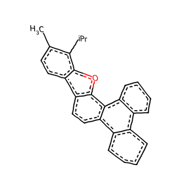 Cc1ccc2c(oc3c2ccc2c4ccccc4c4ccccc4c23)c1C(C)C